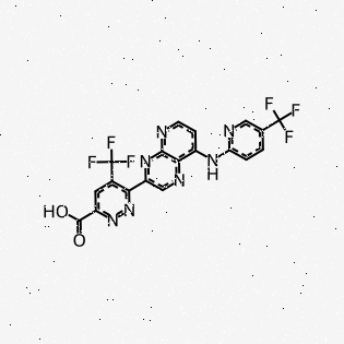 O=C(O)c1cc(C(F)(F)F)c(-c2cnc3c(Nc4ccc(C(F)(F)F)cn4)ccnc3n2)nn1